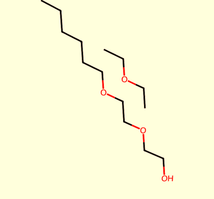 CCCCCCOCCOCCO.CCOCC